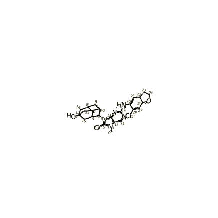 Cn1c(=O)n(C2C3CC4CC2CC(O)(C4)C3)c2nc(NC3=CC4CCOC4C=C3Cl)ncc21